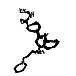 CCNC(=O)c1ccc(-c2cc(NCCCN3CCCCC3)c3ccccc3n2)cc1